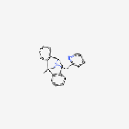 CC12CN(Cc3ccccn3)C(Cc3ccccc31)c1ccccc12